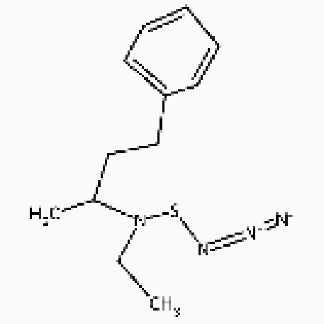 CCN(SN=[N+]=[N-])C(C)CCc1ccccc1